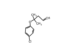 [CH]=CCC(C)(C)Oc1ccc(Cl)cc1